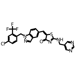 O=C1N=C(NCc2cncnc2)SC1=Cc1ccc2c(cnn2Cc2ccc(Cl)cc2C(F)(F)F)c1